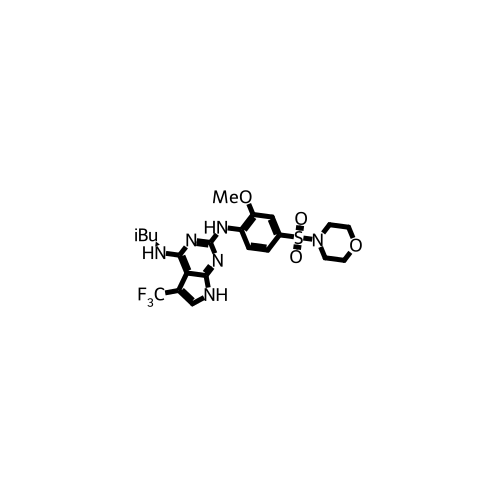 CC[C@H](C)Nc1nc(Nc2ccc(S(=O)(=O)N3CCOCC3)cc2OC)nc2[nH]cc(C(F)(F)F)c12